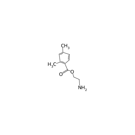 Cc1ccc(C(=O)OCCN)c(C)c1